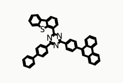 c1ccc(-c2ccc(-c3nc(-c4ccc(-c5cc6ccccc6c6ccccc56)cc4)nc(-c4cccc5c4sc4ccccc45)n3)cc2)cc1